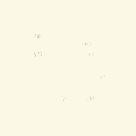 Cl.NNc1cc(Cl)c(C(=O)O)c(Cl)c1